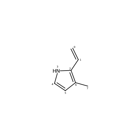 C=Cc1[nH]ccc1C